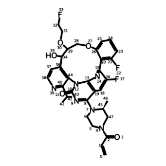 C=CC(=O)N1CCN(c2nc(=O)n3c4nc(c(F)cc24)-c2c(F)cccc2OCC(OCCF)C(O)c2ccnc(C(C)C)c2-3)[C@@H](C)C1